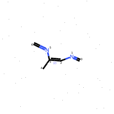 C=N/C=C(/C)N=C